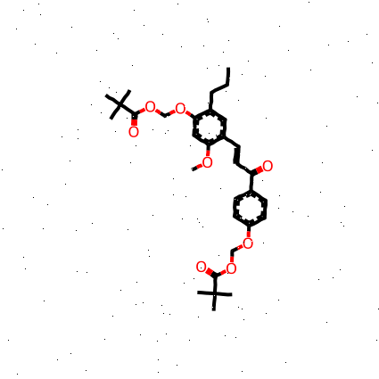 CCCc1cc(/C=C/C(=O)c2ccc(OCOC(=O)C(C)(C)C)cc2)c(OC)cc1OCOC(=O)C(C)(C)C